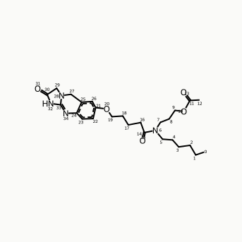 CCCCCCN(CCCOC(C)=O)C(=O)CCCCOc1ccc2c(c1)CN1CC(=O)NC1=N2